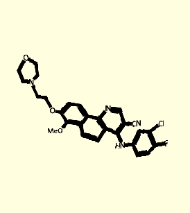 COc1c(OCCN2CCOCC2)ccc2c1ccc1c(Nc3ccc(F)c(Cl)c3)c(C#N)cnc12